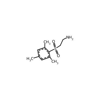 Cc1cc(C)c(S(=O)(=O)CCN)c(C)c1